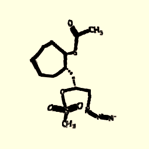 CC(=O)S[C@@H]1CCCCC[C@H]1C[C@H](CN=[N+]=[N-])OS(C)(=O)=O